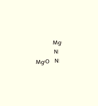 [Mg].[Mg].[N].[N].[O]